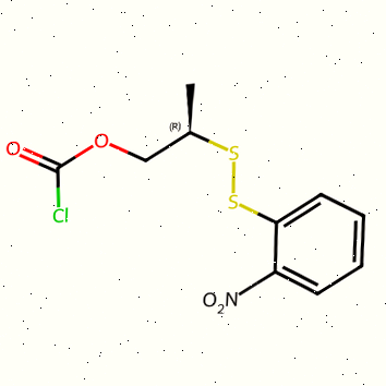 C[C@H](COC(=O)Cl)SSc1ccccc1[N+](=O)[O-]